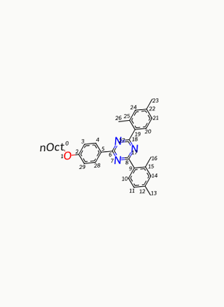 CCCCCCCCOc1ccc(-c2nc(-c3ccc(C)cc3C)nc(-c3ccc(C)cc3C)n2)cc1